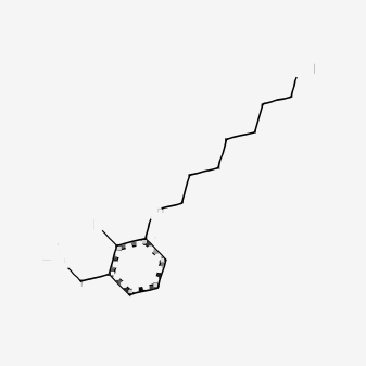 CCCCCCCCOc1cccc(CO)c1F